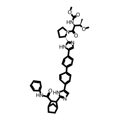 COC(=O)N[C@H](C(=O)N1CCC[C@H]1c1ncc(-c2ccc(-c3ccc(-c4cnc(C5C6CCC(C6)C5C(=O)Nc5ccccc5)[nH]4)cc3)cc2)[nH]1)[C@@H](C)OC